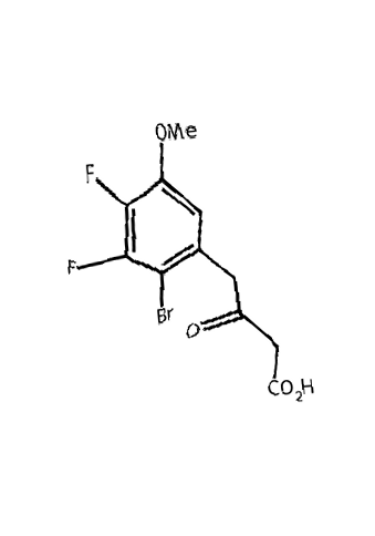 COc1cc(CC(=O)CC(=O)O)c(Br)c(F)c1F